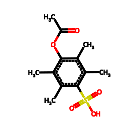 CC(=O)Oc1c(C)c(C)c(S(=O)(=O)O)c(C)c1C